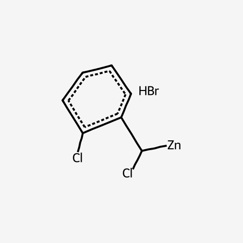 Br.Clc1ccccc1[CH](Cl)[Zn]